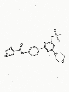 CS(=O)(=O)Cc1cc(N2CCOCC2)nc(-c2ccc(NC(=O)c3c[nH]cn3)cc2)n1